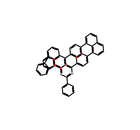 c1ccc(-c2nc(-c3ccccc3)nc(-c3ccc(-c4cccc5cccc(-c6ccc(-c7ccc8c9c(cccc79)-c7ccccc7-8)cc6)c45)cc3)n2)cc1